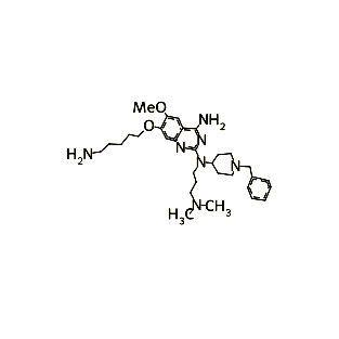 COc1cc2c(N)nc(N(CCCN(C)C)C3CCN(Cc4ccccc4)CC3)nc2cc1OCCCCCN